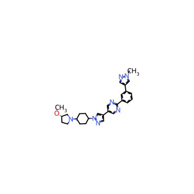 CO[C@H]1CCN([C]2CCC(n3cc(-c4cnc(-c5cccc(-c6cnn(C)c6)c5)nc4)cn3)CC2)C1